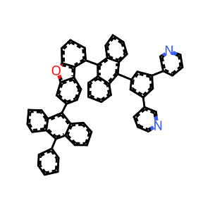 c1ccc(-c2c3ccccc3c(-c3ccc4c(c3)oc3cccc(-c5c6ccccc6c(-c6cc(-c7cccnc7)cc(-c7cccnc7)c6)c6ccccc56)c34)c3ccccc23)cc1